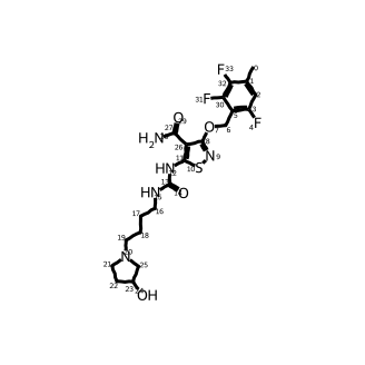 Cc1cc(F)c(COc2nsc(NC(=O)NCCCCN3CCC(O)C3)c2C(N)=O)c(F)c1F